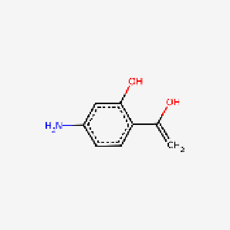 C=C(O)c1ccc(N)cc1O